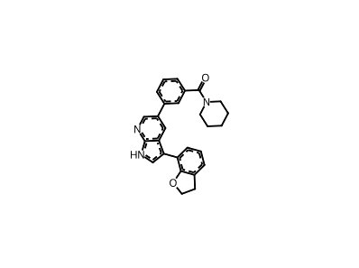 O=C(c1cccc(-c2cnc3[nH]cc(-c4cccc5c4OCC5)c3c2)c1)N1CCCCC1